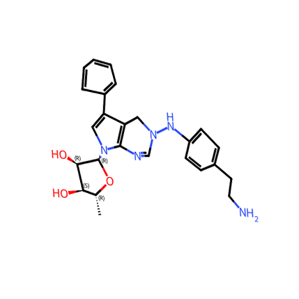 C[C@H]1O[C@@H](n2cc(-c3ccccc3)c3c2N=CN(Nc2ccc(CCN)cc2)C3)[C@H](O)[C@@H]1O